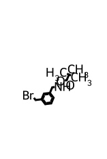 CC(C)(C)C(=O)ONCc1cccc(CBr)c1